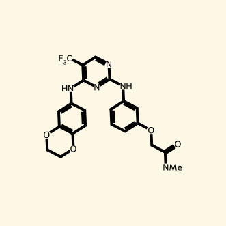 CNC(=O)COc1cccc(Nc2ncc(C(F)(F)F)c(Nc3ccc4c(c3)OCCO4)n2)c1